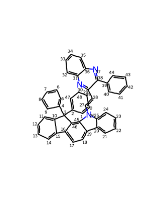 C1=CC(C2(c3ccccc3)c3ccccc3-c3ccc4c5ccccc5n(C=Cc5nc6ccccc6nc5-c5ccccc5)c4c32)=CCC1